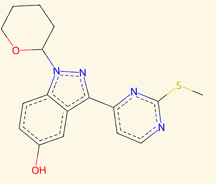 CSc1nccc(-c2nn(C3CCCCO3)c3ccc(O)cc23)n1